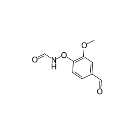 COc1cc(C=O)ccc1ONC=O